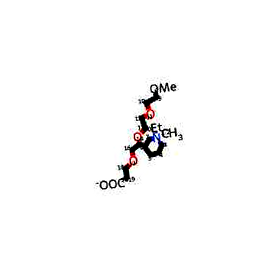 CC[N+]1(C)CCCCC1.COCCOCCOCCOCCC(=O)[O-]